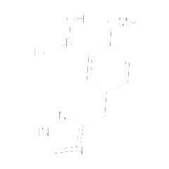 COc1ccc(Cc2nc[nH]n2)cc1B(O)O